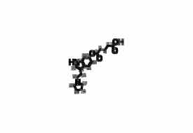 O=C(O)CCCC(=O)Oc1ccc2c(CCN3CCCC3)c[nH]c2c1